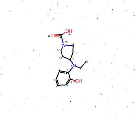 CCN(c1ccccc1O)C1CCN(C(=O)O)CC1